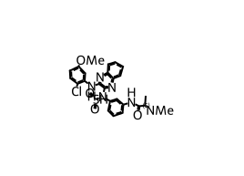 CN[C@@H](C)C(=O)Nc1cccc(N(c2nc3ccccc3nc2Nc2cc(OC)ccc2Cl)[SH](=O)=O)c1